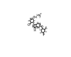 CN(C)CCOc1cc(-c2n[nH]c3nc(Oc4ccc(F)cc4F)ncc23)c(Cl)cn1